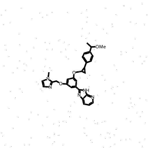 COC(C)c1ccc(C2CC2Oc2cc(OCc3nccn3C)cc(-c3nc4cccnc4[nH]3)c2)cc1